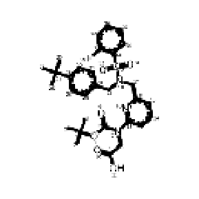 CC(C)(C)OC(=O)N(CC(=O)O)c1cccc(CN(Cc2ccc(C(C)(C)C)cc2)S(=O)(=O)c2ccccc2F)n1